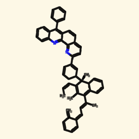 C=c1cccc/c1=C/C=C(\C)C1=C2C=CC=CC2[C@@](C)(C2C=C(c3ccc4ccc5c(-c6ccccc6)c6ccccc6nc5c4n3)C=CC2)C(/C=C\C)=C1C